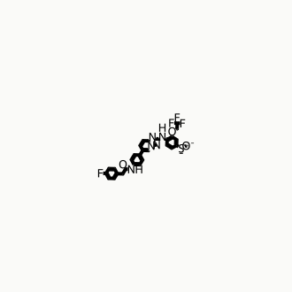 C[S+]([O-])c1ccc(Nc2nc3ccc(-c4ccc(NC(=O)Cc5ccc(F)cc5)cc4)cn3n2)c(OCC(F)(F)F)c1